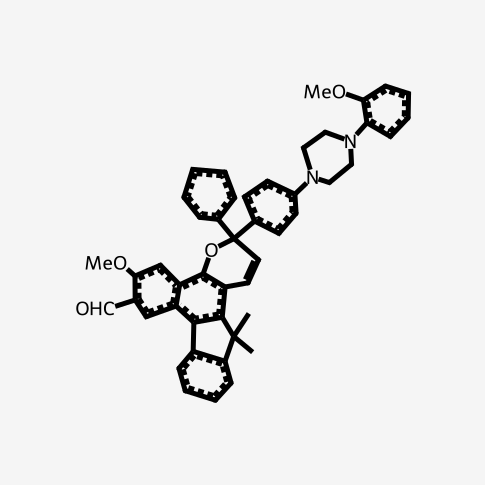 COc1cc2c3c(c4c(c2cc1C=O)-c1ccccc1C4(C)C)C=CC(c1ccccc1)(c1ccc(N2CCN(c4ccccc4OC)CC2)cc1)O3